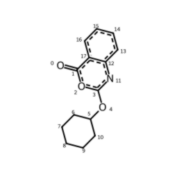 O=c1oc(OC2CCCCC2)nc2ccccc12